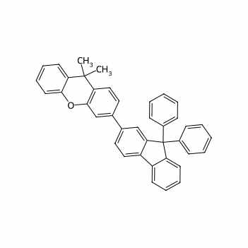 CC1(C)c2ccccc2Oc2cc(-c3ccc4c(c3)C(c3ccccc3)(c3ccccc3)c3ccccc3-4)ccc21